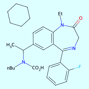 C1CCCCC1.CCCCN(C(=O)O)C(C)c1ccc2c(c1)C(c1ccccc1F)=NCC(=O)N2CC